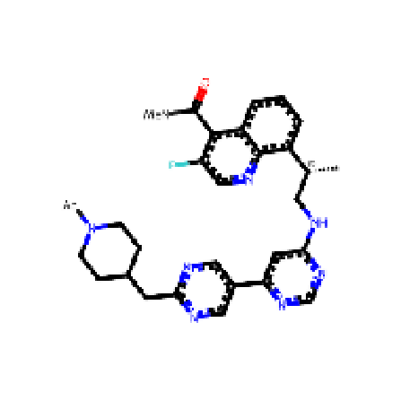 CNC(=O)c1c(F)cnc2c([C@H](C)CNc3cc(-c4cnc(CC5CCN(C(C)=O)CC5)nc4)ncn3)cccc12